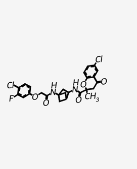 CC1(C(=O)NC2CC3(NC(=O)COc4ccc(Cl)c(F)c4)CC2C3)CC(=O)c2cc(Cl)ccc2O1